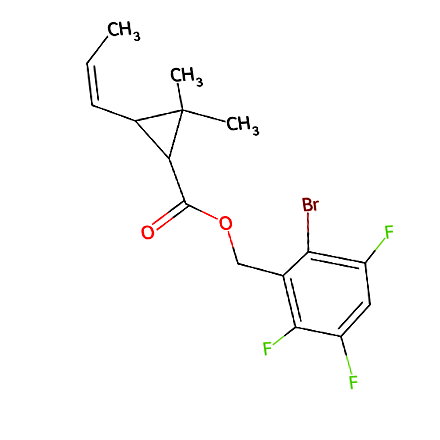 C/C=C\C1C(C(=O)OCc2c(F)c(F)cc(F)c2Br)C1(C)C